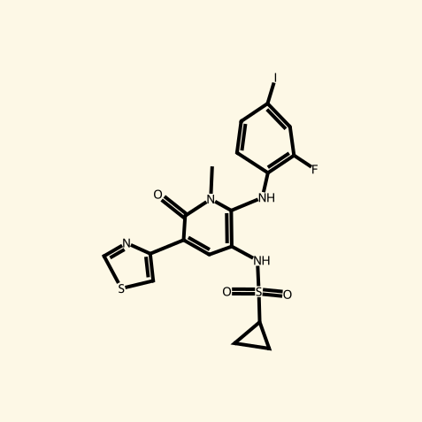 Cn1c(Nc2ccc(I)cc2F)c(NS(=O)(=O)C2CC2)cc(-c2cscn2)c1=O